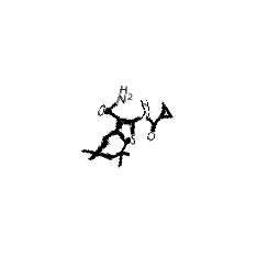 CC1(C)Cc2c(sc(NC(=O)C3CC3)c2C(N)=O)C(C)(C)C1